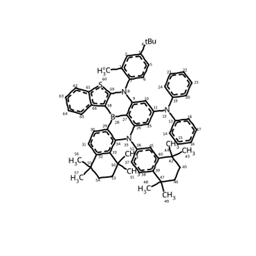 Cc1cc(C(C)(C)C)ccc1N1c2cc(N(c3ccccc3)c3ccccc3)cc3c2B(c2ccc4c(c2N3c2ccc3c(c2)C(C)(C)CCC3(C)C)C(C)(C)CCC4(C)C)c2c1sc1ccccc21